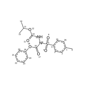 Cc1ccc(S(=O)(=O)N(NC(=O)OC(C)C)C(=O)Oc2ccccc2)cc1